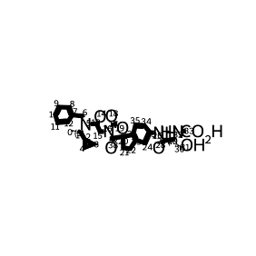 C[C@@H](C1CC1)N(Cc1ccccc1)C(=O)CN1C(=O)OC2(CCc3cc(NC(=O)[C@@H](CO)NC(=O)O)ccc32)C1=O